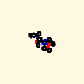 CC1(n2c3ccccc3c3cc4ccccc4cc32)CC=C(c2nc(-c3cccc4c3oc3ccccc34)nc(-c3cccc4c3oc3ccccc34)n2)c2c1oc1ccccc21